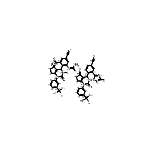 CC(N)=Nc1cc(C#N)cc(C(=O)O)c1C1C2=C(CCC2=O)N(c2cccc(C(F)(F)F)c2)C(=O)N1C.Cc1noc(-c2cc(C#N)ccc2C2C3=C(CCC3=O)N(c3cccc(C(F)(F)F)c3)C(=O)N2C)n1